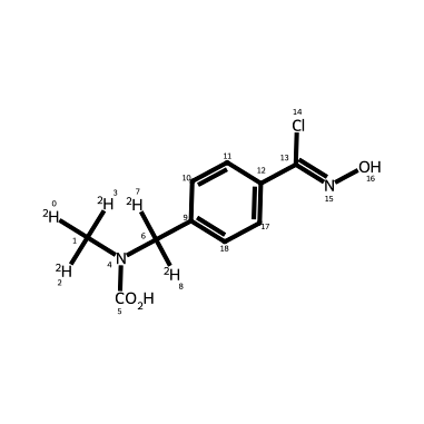 [2H]C([2H])([2H])N(C(=O)O)C([2H])([2H])c1ccc(C(Cl)=NO)cc1